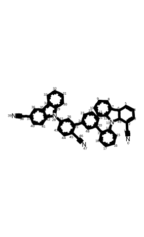 N#CC1=CC=CC2c3ccccc3N(c3ccccc3-c3cccc(-c4cc(-n5c6ccccc6c6cc(C#N)ccc65)ccc4C#N)c3)C12